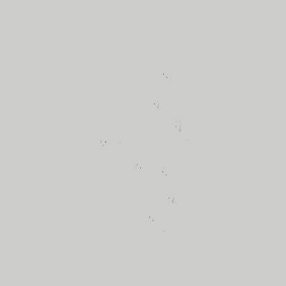 C=CCN1CCN(c2cc(OC)c(Nc3cc(N4OCCC4c4cccc(C(F)(F)F)c4)ncn3)cc2NC(=O)C=C)CC1